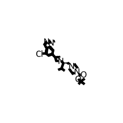 CC(C)[C@H](CN1CCN(C(=O)OC(C)(C)C)CC1)N1CC(c2cc(Cl)c3cnn(C)c3c2)C1